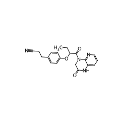 CCC(Oc1ccc(CCC#N)cc1)C(=O)N1CC(=O)Nc2cccnc21